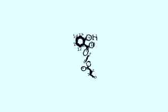 CC=CC(=O)OCCOC(=O)c1ccccc1O